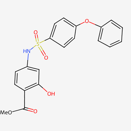 COC(=O)c1ccc(NS(=O)(=O)c2ccc(Oc3ccccc3)cc2)cc1O